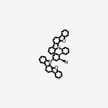 N#Cc1cc(-n2c3ccccc3c3ccc4c5ccccc5oc4c32)ccc1-c1ccccc1-n1c2ccccc2c2ccc3c4ccccc4oc3c21